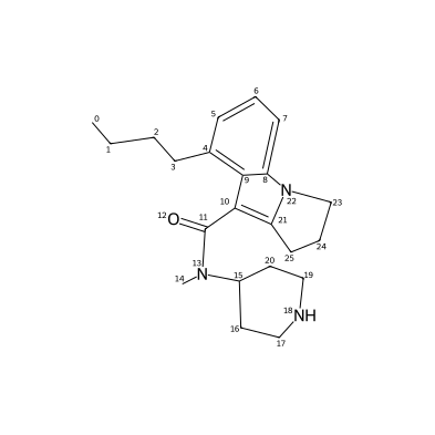 CCCCc1cccc2c1c(C(=O)N(C)C1CCNCC1)c1n2CCC1